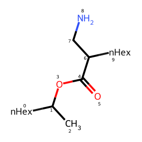 CCCCCCC(C)OC(=O)C(CN)CCCCCC